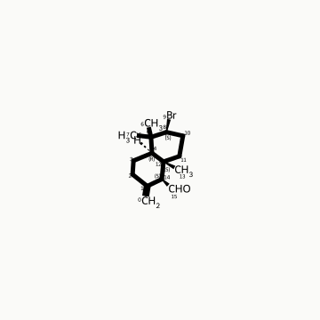 C=C1CC[C@H]2C(C)(C)[C@@H](Br)CC[C@]2(C)[C@H]1C=O